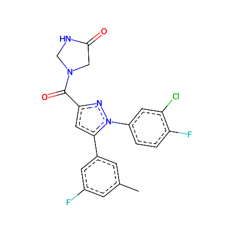 Cc1cc(F)cc(-c2cc(C(=O)N3CNC(=O)C3)nn2-c2ccc(F)c(Cl)c2)c1